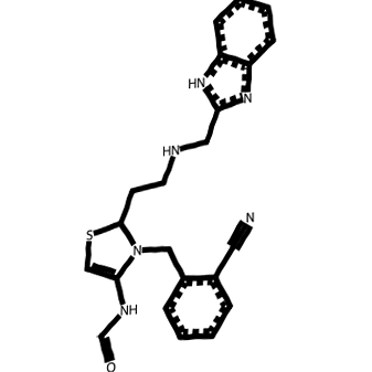 N#Cc1ccccc1CN1C(N[C]=O)=CSC1CCNCc1nc2ccccc2[nH]1